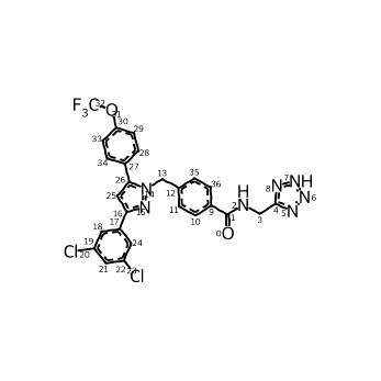 O=C(NCc1nn[nH]n1)c1ccc(Cn2nc(-c3cc(Cl)cc(Cl)c3)cc2-c2ccc(OC(F)(F)F)cc2)cc1